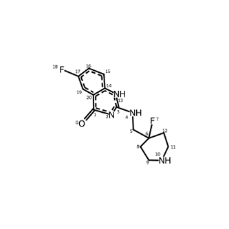 O=c1nc(NCC2(F)CCNCC2)[nH]c2ccc(F)cc12